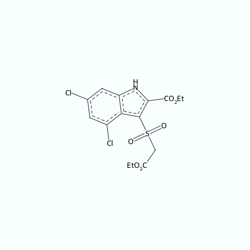 CCOC(=O)CS(=O)(=O)c1c(C(=O)OCC)[nH]c2cc(Cl)cc(Cl)c12